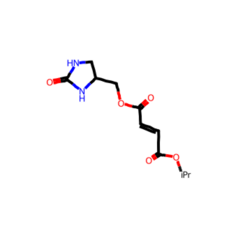 CC(C)OC(=O)/C=C/C(=O)OCC1CNC(=O)N1